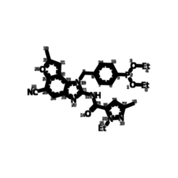 CCOP(OCC)c1ccc(Cn2c(NC(=O)c3cc(C)nn3CC)nc3cc(C#N)c4oc(C)cc4c32)cc1